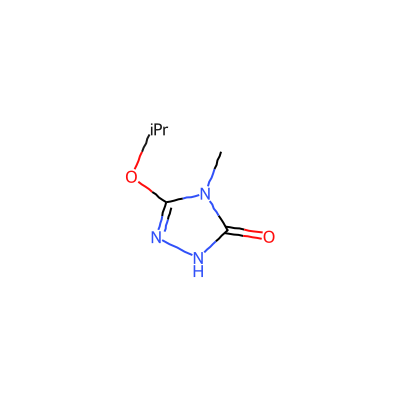 CC(C)Oc1n[nH]c(=O)n1C